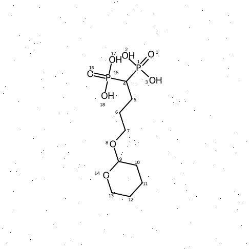 O=P(O)(O)C(CCCOC1CCCCO1)P(=O)(O)O